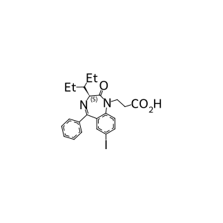 CCC(CC)[C@@H]1N=C(c2ccccc2)c2cc(I)ccc2N(CCC(=O)O)C1=O